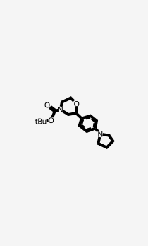 CC(C)(C)OC(=O)N1CCOC(c2ccc(N3CCCC3)cc2)C1